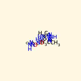 Cc1cnc(Nc2cc(C)n(C)n2)nc1-c1c[nH]c2c(NC(=O)CN3CCC(Oc4ccnc(NC5CCCC5)n4)C3)cccc12